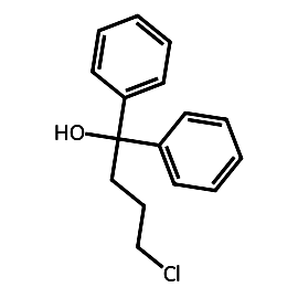 OC(CCCCl)(c1ccccc1)c1ccccc1